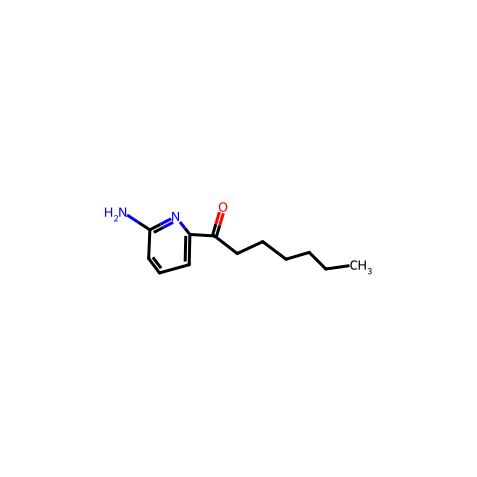 CCCCCCC(=O)c1cccc(N)n1